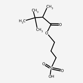 CC(C(=O)OCCCS(=O)(=O)O)C(C)(C)C